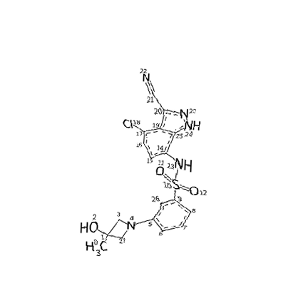 CC1(O)CN(c2cccc(S(=O)(=O)Nc3ccc(Cl)c4c(C#N)n[nH]c34)c2)C1